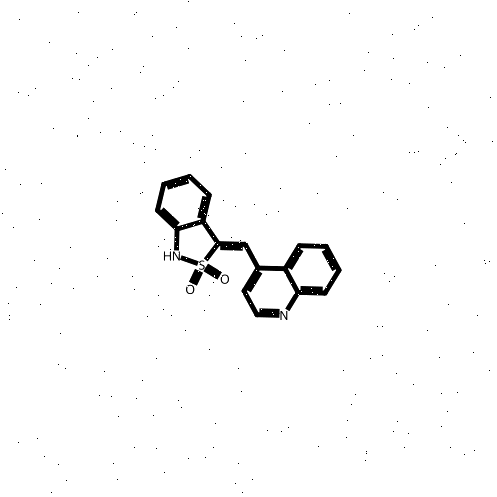 O=S1(=O)Nc2ccccc2C1=Cc1ccnc2ccccc12